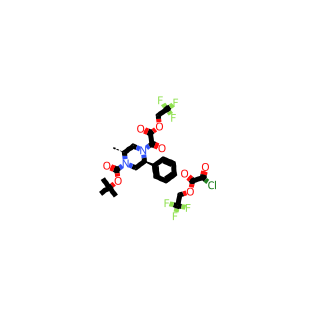 C[C@@H]1CN(C(=O)C(=O)OCC(F)(F)F)[C@@H](c2ccccc2)CN1C(=O)OC(C)(C)C.O=C(Cl)C(=O)OCC(F)(F)F